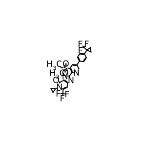 CCS(=O)(=O)c1cc(-c2ccc(C3(C(F)(F)F)CC3)cc2)cnc1-c1nc2cc(C(F)(F)F)n(C3CC3)c(=O)c2n1C